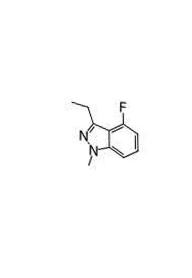 CCc1nn(C)c2cccc(F)c12